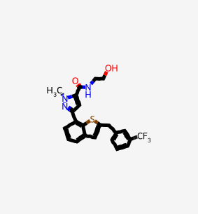 Cn1nc(-c2cccc3cc(Cc4cccc(C(F)(F)F)c4)sc23)cc1C(=O)NCCO